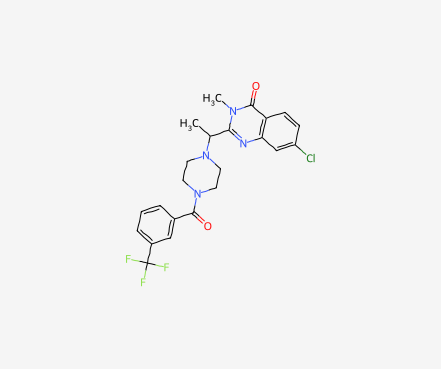 CC(c1nc2cc(Cl)ccc2c(=O)n1C)N1CCN(C(=O)c2cccc(C(F)(F)F)c2)CC1